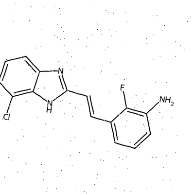 Nc1cccc(C=Cc2nc3cccc(Cl)c3[nH]2)c1F